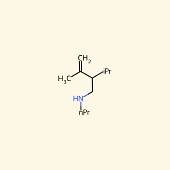 C=C(C)C(CNCCC)C(C)C